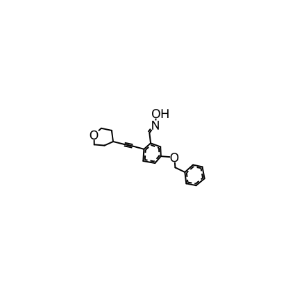 ON=Cc1cc(OCc2ccccc2)ccc1C#CC1CCOCC1